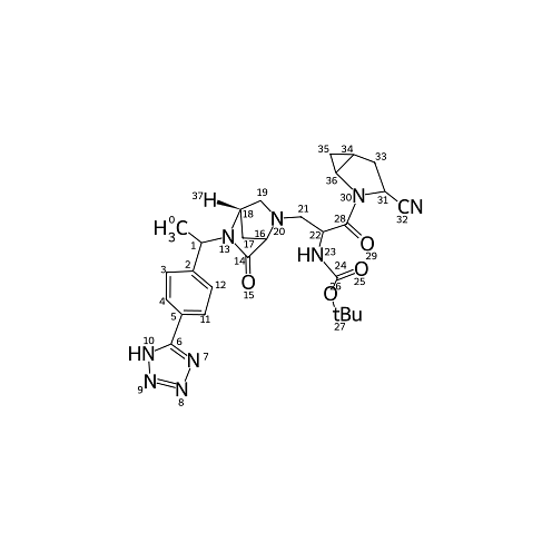 CC(c1ccc(-c2nnn[nH]2)cc1)N1C(=O)C2C[C@H]1CN2CC(NC(=O)OC(C)(C)C)C(=O)N1C(C#N)CC2CC21